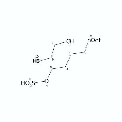 CCCCCCCCCCCCOS(=O)(=O)O.OCCS